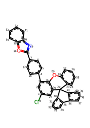 Clc1cc(-c2ccc(-c3nc4ccccc4o3)cc2)c2c(c1)C1(c3ccccc3O2)c2ccccc2-c2ccccc21